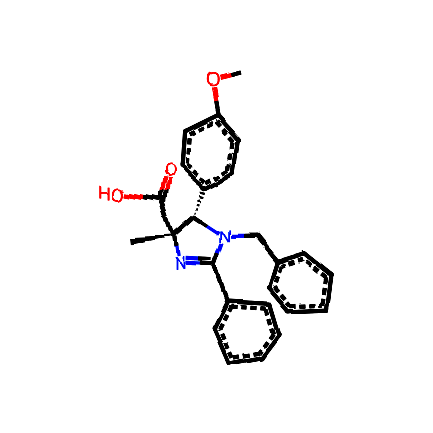 COc1ccc([C@@H]2N(Cc3ccccc3)C(c3ccccc3)=N[C@]2(C)C(=O)O)cc1